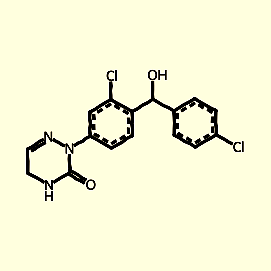 O=C1NCC=NN1c1ccc(C(O)c2ccc(Cl)cc2)c(Cl)c1